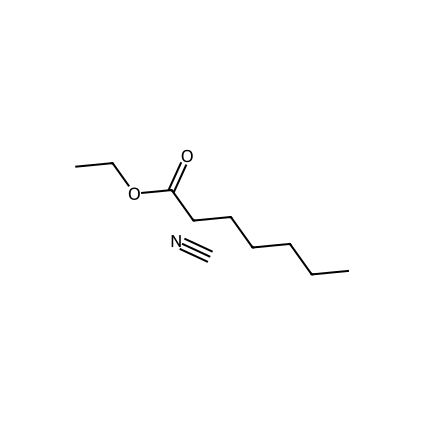 C#N.CCCCCCC(=O)OCC